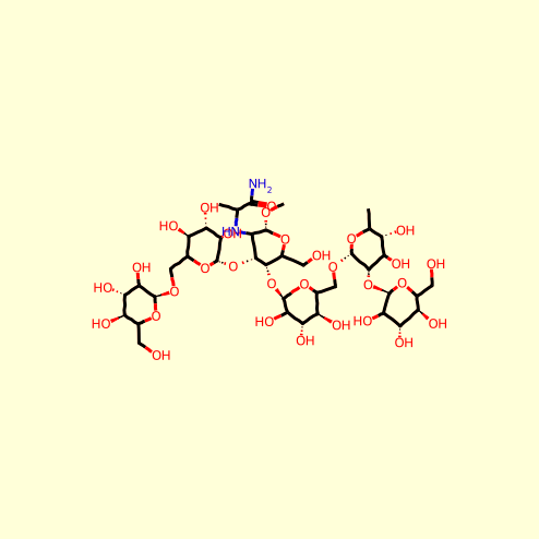 CO[C@@H]1OC(CO)[C@H](O[C@H]2OC(CO[C@@H]3OC(C)[C@H](O)C(O)[C@@H]3O[C@H]3OC(CO)[C@@H](O)[C@H](O)C3O)[C@@H](O)[C@H](O)C2O)[C@H](O[C@@H]2OC(CO[C@H]3OC(CO)[C@@H](O)[C@H](O)C3O)[C@@H](O)[C@H](O)C2O)C1NC(C)C(N)=O